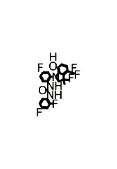 CC1(C)CN(c2cc(F)ccc2NC(=O)Nc2ccc(F)cc2F)c2c(O)ccc(C(F)(F)F)c21